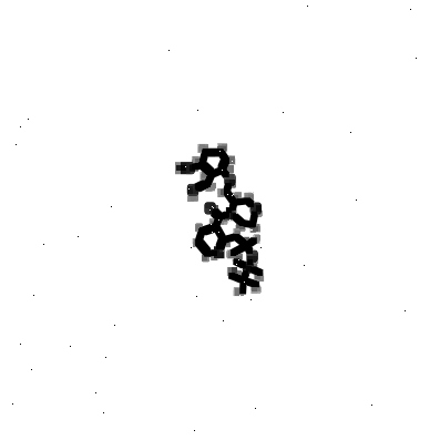 CC(C)(Cc1ncccc1C(=O)N1CCOCC1COc1cccc(O)c1C=O)O[Si](C)(C)C(C)(C)C